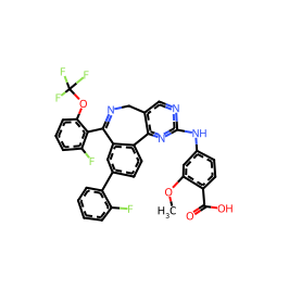 COc1cc(Nc2ncc3c(n2)-c2ccc(-c4ccccc4F)cc2C(c2c(F)cccc2OC(F)(F)F)=NC3)ccc1C(=O)O